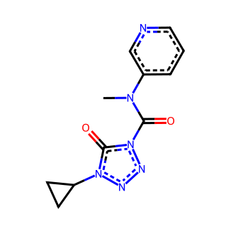 CN(C(=O)n1nnn(C2CC2)c1=O)c1cccnc1